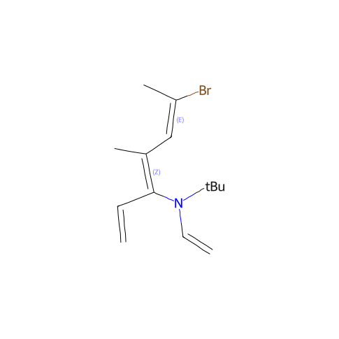 C=C/C(=C(C)/C=C(\C)Br)N(C=C)C(C)(C)C